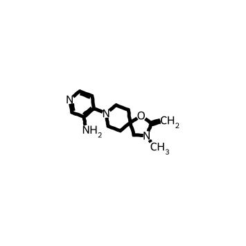 C=C1OC2(CCN(c3ccncc3N)CC2)CN1C